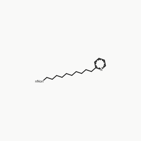 CCCCCCCCCCCCCCCCCCCc1ccccn1